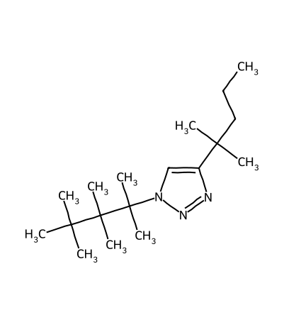 CCCC(C)(C)c1cn(C(C)(C)C(C)(C)C(C)(C)C)nn1